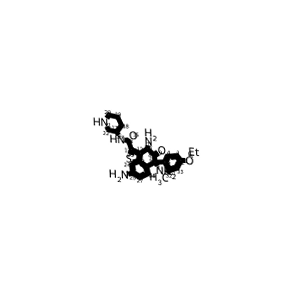 CCOc1ccc(C2(N)C(=O)C(N)c3c(C(=O)NC4CCCNC4)sc4c(N)ccc2c34)c(C)c1